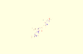 C=CC(=O)N1CCN(C(C)CC2CC2/C=C(/C#N)C(=O)N2CCN(C(C)C)CC2)C(CF)C1